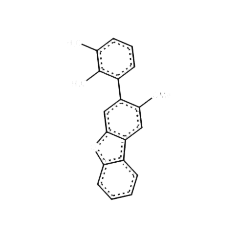 COc1cc2c(cc1-c1cccc(C)c1C)oc1ccccc12